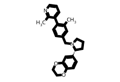 Cc1cc(CN2CCC[C@@H]2c2ccc3c(c2)OCCO3)ccc1-c1cccnc1C